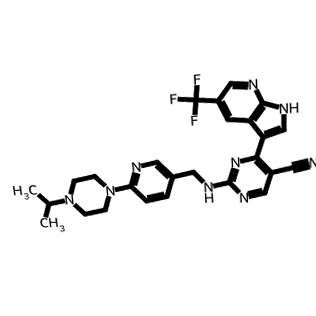 CC(C)N1CCN(c2ccc(CNc3ncc(C#N)c(-c4c[nH]c5ncc(C(F)(F)F)cc45)n3)cn2)CC1